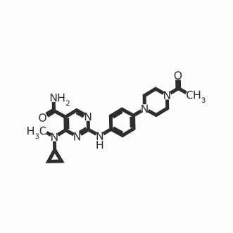 CC(=O)N1CCN(c2ccc(Nc3ncc(C(N)=O)c(N(C)C4CC4)n3)cc2)CC1